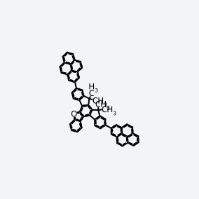 CC1(C)c2cc(-c3cc4ccc5cccc6ccc(c3)c4c56)ccc2-c2c1c1c(c3c2oc2ccccc23)-c2ccc(-c3cc4ccc5cccc6ccc(c3)c4c56)cc2C1(C)C